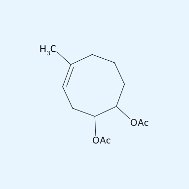 CC(=O)OC1C/C=C(/C)CCCC1OC(C)=O